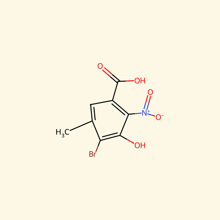 Cc1cc(C(=O)O)c([N+](=O)[O-])c(O)c1Br